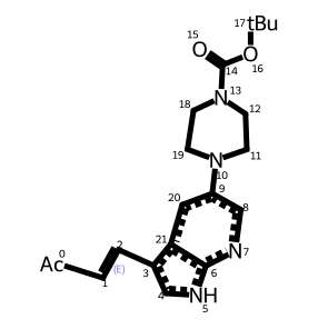 CC(=O)/C=C/c1c[nH]c2ncc(N3CCN(C(=O)OC(C)(C)C)CC3)cc12